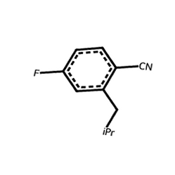 CC(C)Cc1cc(F)ccc1C#N